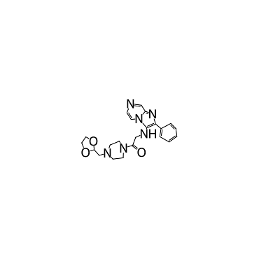 O=C(CNc1c(-c2ccccc2)nc2cnccn12)N1CCN(CC2OCCO2)CC1